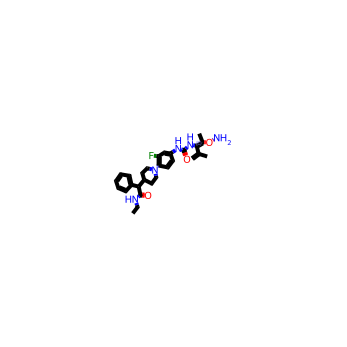 C=C(C)/C(NC(=O)Nc1ccc(N2CCC(C(C(=O)NCC)c3ccccc3)CC2)c(F)c1)=C(/C)ON